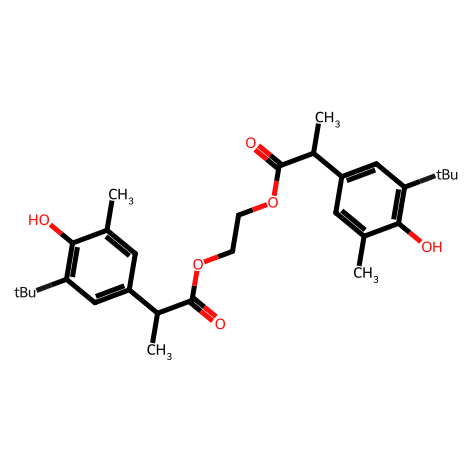 Cc1cc(C(C)C(=O)OCCOC(=O)C(C)c2cc(C)c(O)c(C(C)(C)C)c2)cc(C(C)(C)C)c1O